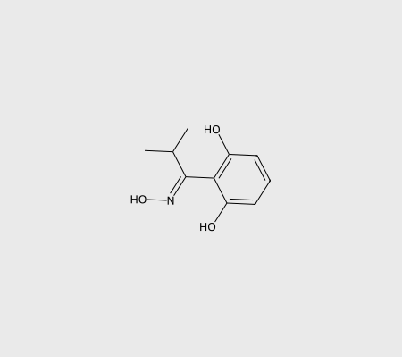 CC(C)C(=NO)c1c(O)cccc1O